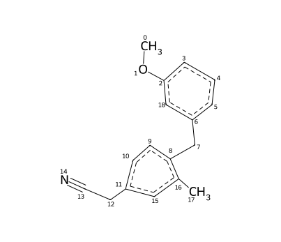 COc1cccc(Cc2ccc(CC#N)cc2C)c1